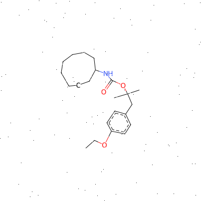 CCOc1ccc(CC(C)(C)OC(=O)NC2CCCCCCCC2)cc1